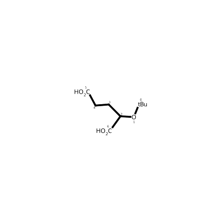 CC(C)(C)OC(CCC(=O)O)C(=O)O